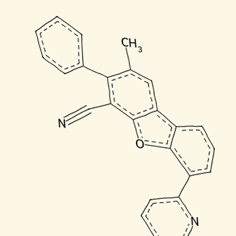 Cc1cc2c(oc3c(-c4ccccn4)cccc32)c(C#N)c1-c1ccccc1